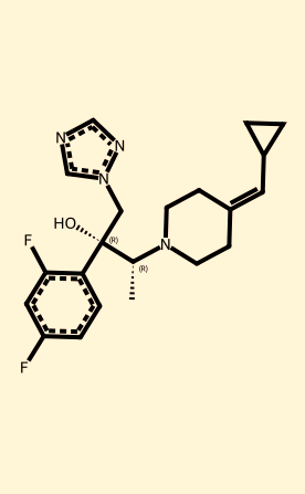 C[C@@H](N1CCC(=CC2CC2)CC1)[C@](O)(Cn1cncn1)c1ccc(F)cc1F